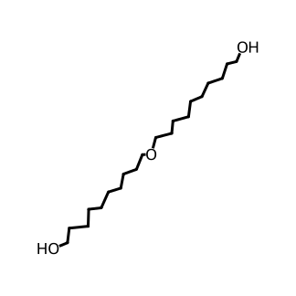 OCCCCCCCCCCOCCCCCCCCCCO